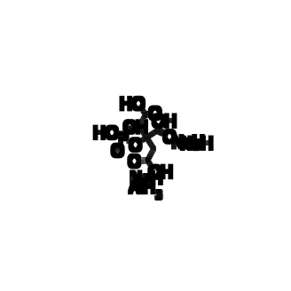 O=C(O)CC(CC(=O)O)(OP(=O)(O)O)C(=O)O.[AlH3].[NaH].[NaH].[NaH]